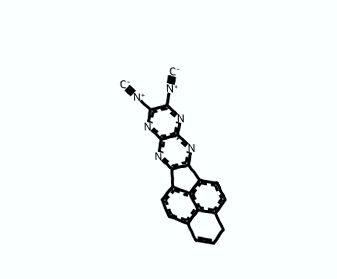 [C-]#[N+]c1nc2nc3c(nc2nc1[N+]#[C-])-c1ccc2c4c(ccc-3c14)C=CC2